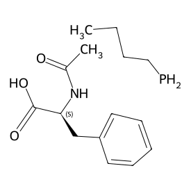 CC(=O)N[C@@H](Cc1ccccc1)C(=O)O.CCCCP